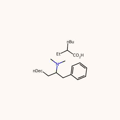 CCCCC(CC)C(=O)O.CCCCCCCCCCCC(Cc1ccccc1)N(C)C